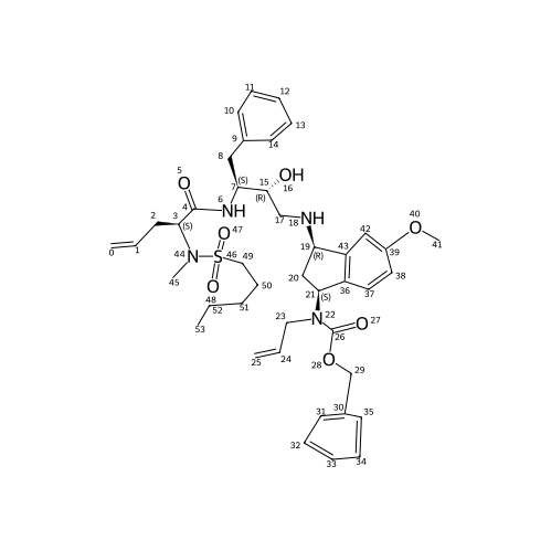 C=CC[C@@H](C(=O)N[C@@H](Cc1ccccc1)[C@H](O)CN[C@@H]1C[C@H](N(CC=C)C(=O)OCc2ccccc2)c2ccc(OC)cc21)N(C)S(=O)(=O)CCCCC